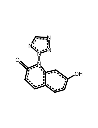 O=c1ccc2ccc(O)cc2n1-n1ncnn1